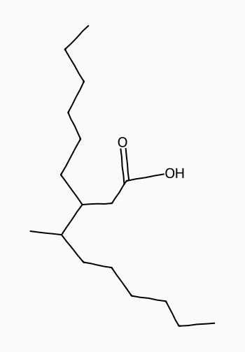 CCCCCCC(C)C(CCCCCC)CC(=O)O